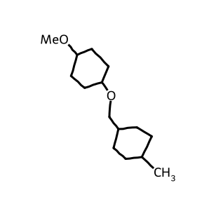 COC1CCC(OCC2CCC(C)CC2)CC1